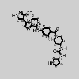 O=C(NC1CCN(C(=O)c2ccc(Nc3nccn4c(-c5c[nH]nc5C(F)(F)F)cnc34)cc2Cl)CC1)N[C@H]1CCNC1